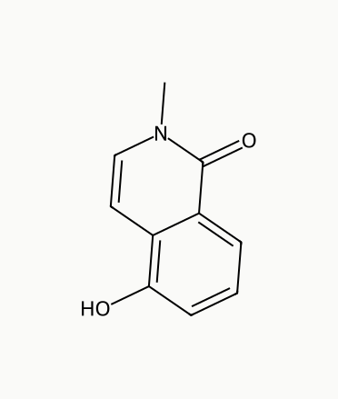 Cn1ccc2c(O)cccc2c1=O